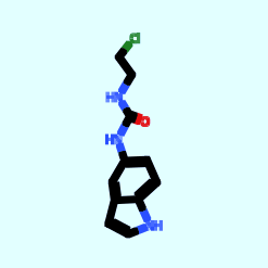 O=C(NCCCl)Nc1ccc2[nH]ccc2c1